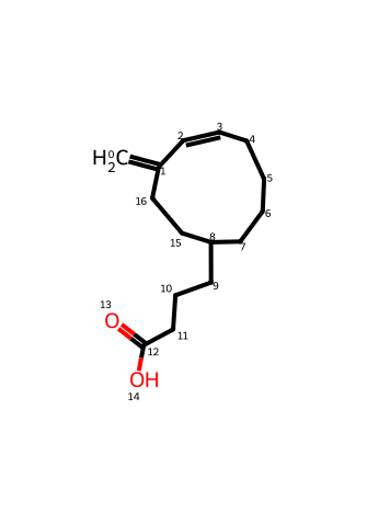 C=C1/C=C\CCCCC(CCCC(=O)O)CC1